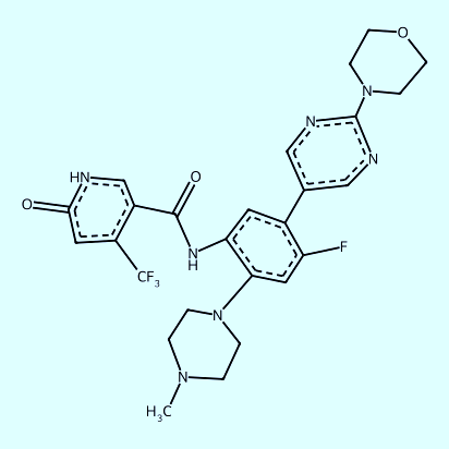 CN1CCN(c2cc(F)c(-c3cnc(N4CCOCC4)nc3)cc2NC(=O)c2c[nH]c(=O)cc2C(F)(F)F)CC1